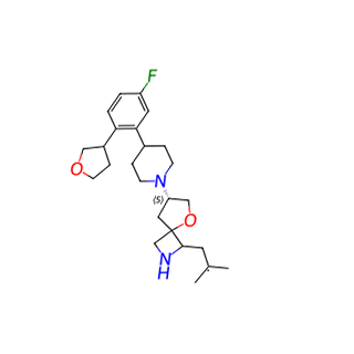 C[C](C)CC1NCC12C[C@H](N1CCC(c3cc(F)ccc3C3CCOC3)CC1)CO2